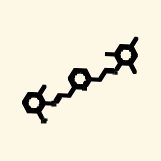 Cc1cc(C)c(N=CCc2cccc(CC=Nc3c(C)cccc3Br)n2)c(C)c1